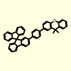 CC1(C)c2ccccc2Oc2ccc(-c3ccc(-c4ccc5c(c4)C4(c6ccccc6-c6ccccc64)c4ccccc4-5)cc3)cc21